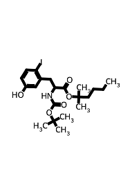 CCCCC(C)(C)OC(=O)C(Cc1cc(O)ccc1I)NC(=O)OC(C)(C)C